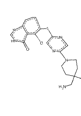 CC1(CN)CCN(c2cnc(Sc3ccc4nc[nH]c(=O)c4c3Cl)cn2)CC1